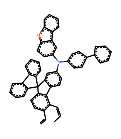 C=Cc1ccc2c(c1/C=C\C)-c1ccc(N(c3ccc(-c4ccccc4)cc3)c3ccc4oc5ccccc5c4c3)cc1C21c2ccccc2-c2ccccc21